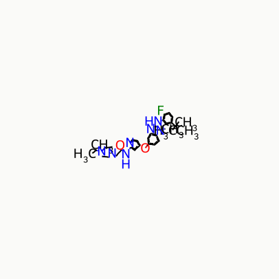 CC(C)N1CCN(CC(=O)Nc2cc(Oc3ccc4c(c3)nc(Nc3cc(C(C)(C)C)ccc3F)n4C)ccn2)CC1